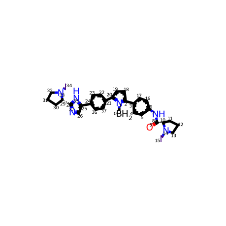 Bn1c(-c2ccc(NC(=O)[C@@H]3CCCN3I)cc2)ccc1-c1ccc(-c2cnc([C@@H]3CCCN3I)[nH]2)cc1